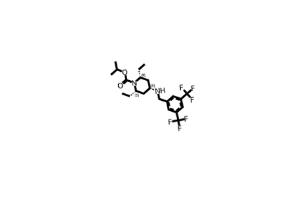 CC[C@@H]1C[C@H](NCc2cc(C(F)(F)F)cc(C(F)(F)F)c2)C[C@H](CC)N1C(=O)OC(C)C